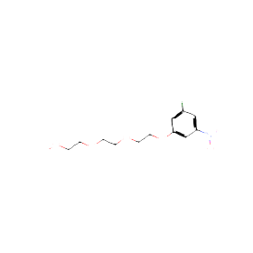 COCCOCCOCCOc1cc(Cl)cc([N+](=O)[O-])c1